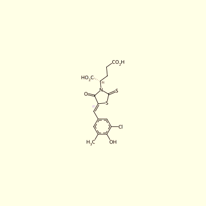 Cc1cc(/C=C2\SC(=S)N([C@@H](CCC(=O)O)C(=O)O)C2=O)cc(Cl)c1O